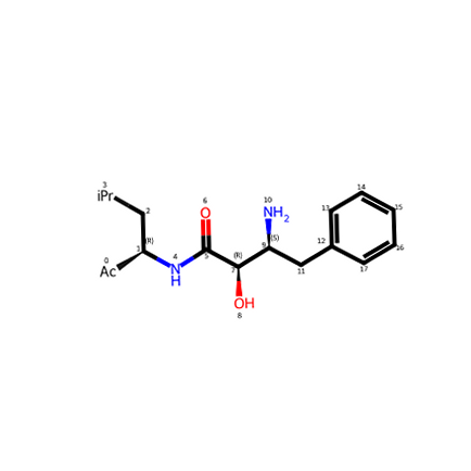 CC(=O)[C@@H](CC(C)C)NC(=O)[C@H](O)[C@@H](N)Cc1ccccc1